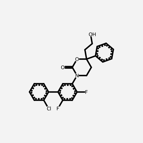 O=C1OC(CCO)(c2ccccc2)CCN1c1cc(-c2ccccc2Cl)c(F)cc1F